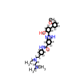 CCN(CCc1ccc(NC(=O)c2ccc3[nH]c(-c4cc(-c5ccccc5OC)ccc4O)nc3c2)cc1)CCN(C)C